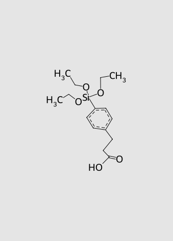 CCO[Si](OCC)(OCC)c1ccc(CCC(=O)O)cc1